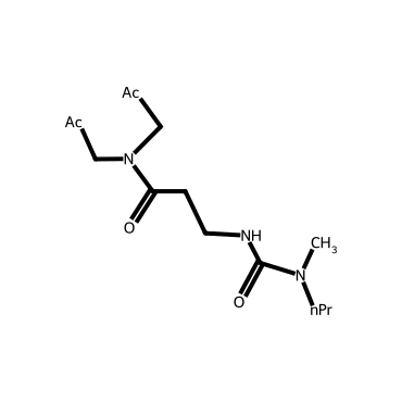 CCCN(C)C(=O)NCCC(=O)N(CC(C)=O)CC(C)=O